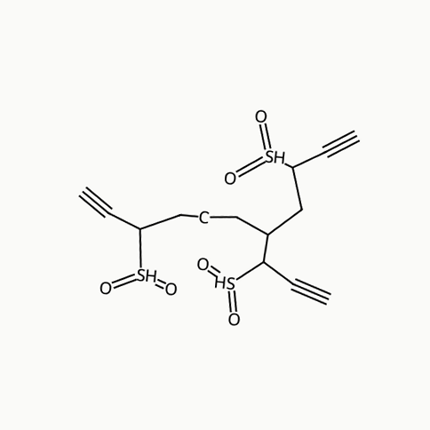 C#CC(CCCC(CC(C#C)[SH](=O)=O)C(C#C)[SH](=O)=O)[SH](=O)=O